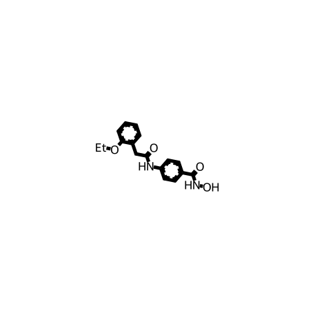 CCOc1ccccc1CC(=O)Nc1ccc(C(=O)NO)cc1